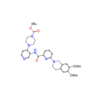 COc1cc2c(cc1OC)CN(c1cccc(C(=O)Nc3cnccc3N3CCN(C(=O)OC(C)(C)C)CC3)n1)CC2